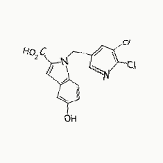 O=C(O)c1cc2cc(O)ccc2n1Cc1cnc(Cl)c(Cl)c1